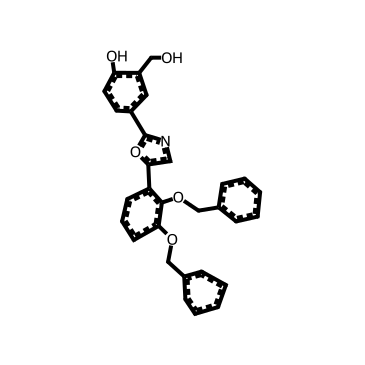 OCc1cc(-c2ncc(-c3cccc(OCc4ccccc4)c3OCc3ccccc3)o2)ccc1O